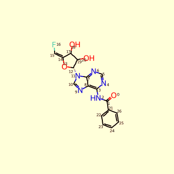 O=C(Nc1ncnc2c1ncn2[C@@H]1OC(=CF)C(O)C1O)c1ccccc1